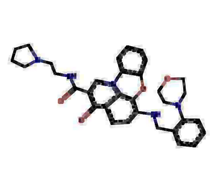 O=C(NCCN1CCCC1)c1cn2c3c(c(NCc4ccccc4N4CCOCC4)ccc3c1=O)Oc1ccccc1-2